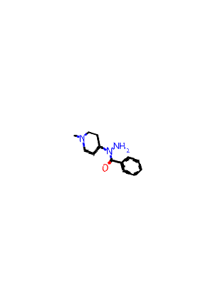 CN1CCC(N(N)C(=O)c2ccccc2)CC1